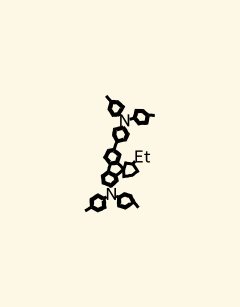 CCC1CCCC2(C1)c1cc(-c3ccc(N(c4ccc(C)cc4)c4ccc(C)cc4)cc3)ccc1-c1ccc(N(c3ccc(C)cc3)c3ccc(C)cc3)cc12